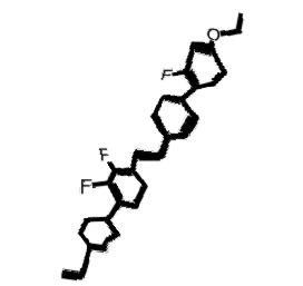 C=CC1CCC(c2ccc(/C=C/c3ccc(-c4ccc(OCC)cc4F)cc3)c(F)c2F)CC1